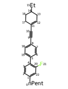 CCCCCc1ccc(-c2ccc(C#CC3=CCC(CC)CC3)cc2)c(F)c1